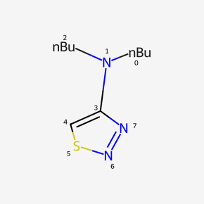 CCCCN(CCCC)c1csnn1